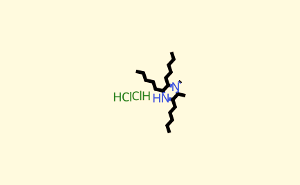 CCCCCC1NC(CCCCC)C(CCCCC)N(C)C1C.Cl.Cl